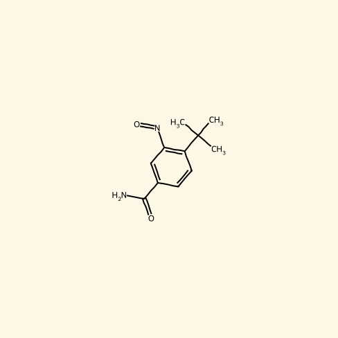 CC(C)(C)c1ccc(C(N)=O)cc1N=O